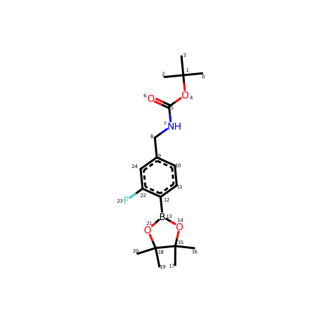 CC(C)(C)OC(=O)NCc1ccc(B2OC(C)(C)C(C)(C)O2)c(F)c1